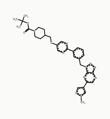 Cn1cc(-c2cnc3nnn(Cc4cccc(-c5ncc(OCC6CCN(C(=O)OC(C)(C)C)CC6)cn5)c4)c3n2)cn1